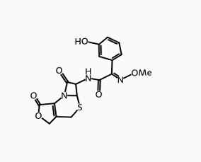 CO/N=C(/C(=O)NC1C(=O)N2C3=C(COC3=O)CSC12)c1cccc(O)c1